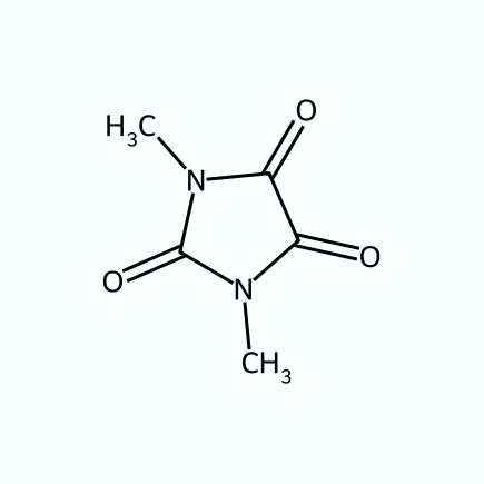 CN1C(=O)C(=O)N(C)C1=O